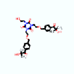 CC(C)(O)C(=O)c1ccc(COCCn2c(=O)n(CCO)c(=O)n(CCOCc3ccc(C(=O)C(C)(C)O)cc3)c2=O)cc1